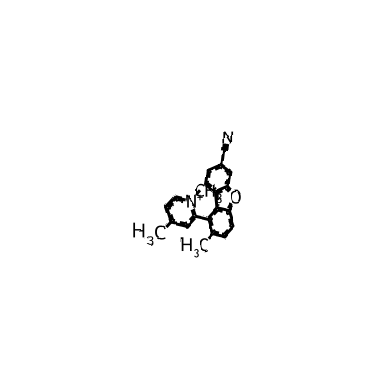 Cc1cc[n+](C)c(-c2c(C)ccc3oc4cc(C#N)ccc4c23)c1